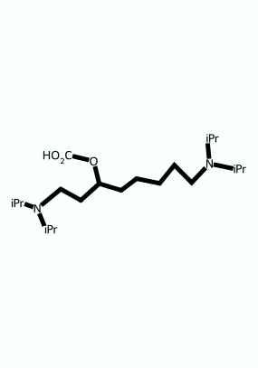 CC(C)N(CCCCCC(CCN(C(C)C)C(C)C)OC(=O)O)C(C)C